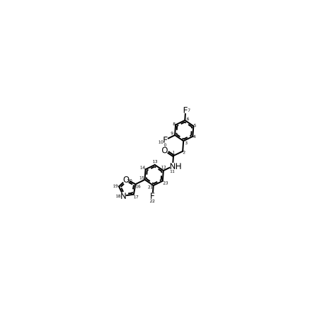 O=C(Cc1ccc(F)cc1F)Nc1ccc(-c2cnco2)c(F)c1